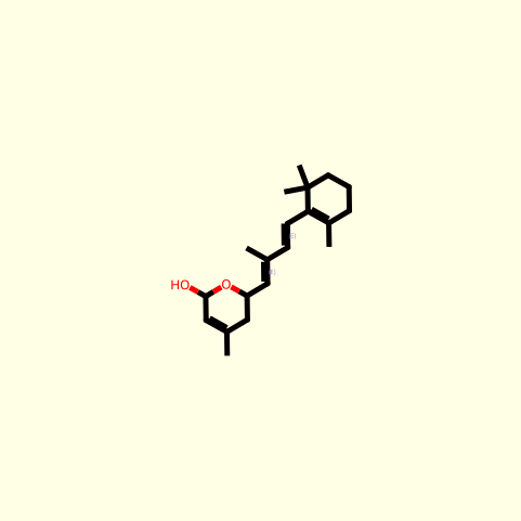 CC1=CC(O)OC(/C=C(C)/C=C/C2=C(C)CCCC2(C)C)C1